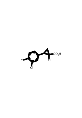 O=C(O)C1(Cl)CC1c1ccc(Cl)c(Cl)c1